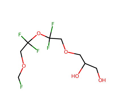 OCC(O)COCC(F)(F)OC(F)(F)COCF